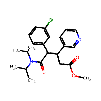 COC(=O)CC(c1cccnc1)C(C(=O)N(C(C)C)C(C)C)c1cccc(Br)c1